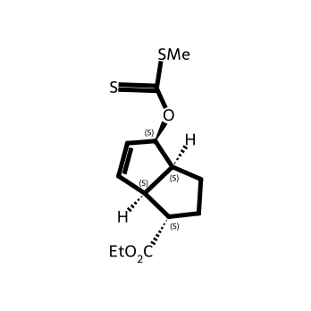 CCOC(=O)[C@H]1CC[C@H]2[C@@H]1C=C[C@H]2OC(=S)SC